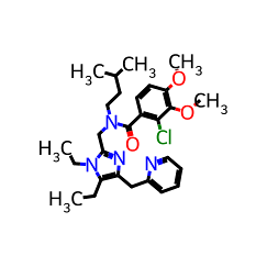 CCc1c(Cc2ccccn2)nc(CN(CCC(C)C)C(=O)c2ccc(OC)c(OC)c2Cl)n1CC